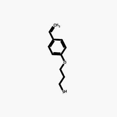 C=Cc1ccc(OCCCS)cc1